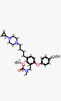 CSc1ccc(Oc2ccc(CCCCN3CCN(C4CC4)CC3)cc2CN(C)C(=O)OC(C)(C)C)cc1